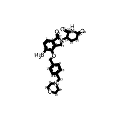 Bc1ccc2c(c1OCc1ccc(CN3CCOCC3)cc1)CN(C1CCC(=O)NC1=O)C2=O